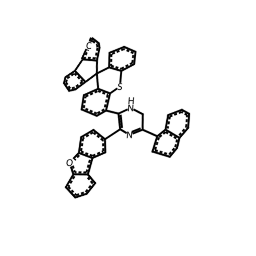 c1ccc2c(c1)Sc1c(C3=C(c4ccc5oc6ccccc6c5c4)N=C(c4cccc5ccccc45)CN3)cccc1C21c2ccccc2-c2ccccc21